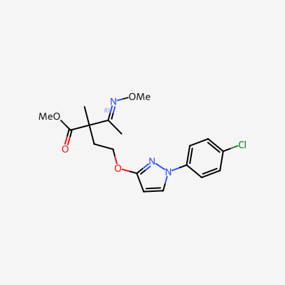 CO/N=C(\C)C(C)(CCOc1ccn(-c2ccc(Cl)cc2)n1)C(=O)OC